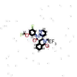 O=C(Nc1cc(F)cc(OCF)c1)[C@H]1c2ccccc2C(=O)N(CC(F)(F)F)[C@@H]1c1cccnc1